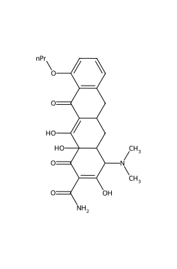 CCCOc1cccc2c1C(=O)C1=C(O)C3(O)C(=O)C(C(N)=O)=C(O)C(N(C)C)C3CC1C2